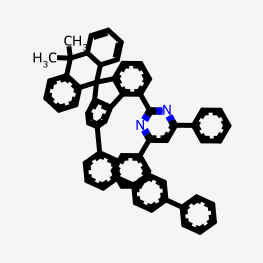 CC1(C)c2ccccc2C2(c3ccc(-c4cccc(-c5ccc(-c6ccccc6)cc5)c4)cc3-c3c(-c4nc(-c5ccccc5)cc(-c5ccccc5)n4)cccc32)C2C=CC=CC21